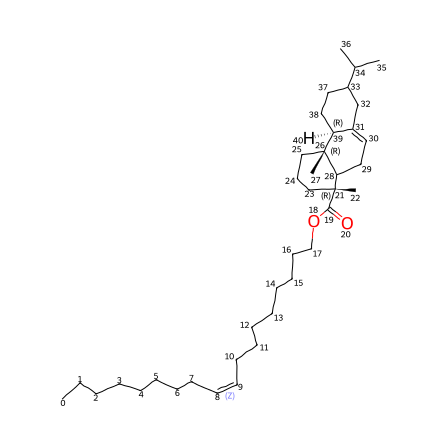 CCCCCCCC/C=C\CCCCCCCCOC(=O)[C@]1(C)CCC[C@@]2(C)C1CC=C1CC(C(C)C)CC[C@@H]12